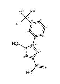 Cc1cc(C(=O)O)nn1-c1cccc(C(F)(F)F)c1